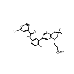 COCCN1CC(C)(C)Cc2ncc(-c3cc(NC(=O)c4ccnc(C(F)(F)F)c4)ccc3C)cc21